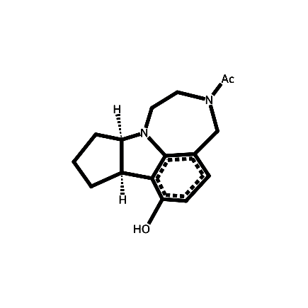 CC(=O)N1CCN2c3c(ccc(O)c3[C@H]3CCC[C@H]32)C1